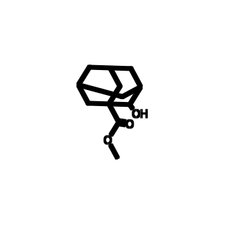 COC(=O)C12CC3CC(CC(C3)C1O)C2